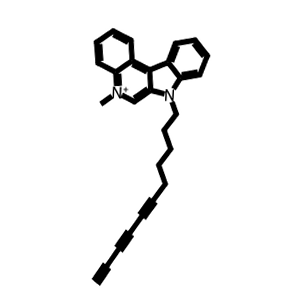 C#CC#CC#CCCCCCn1c2ccccc2c2c3ccccc3[n+](C)cc21